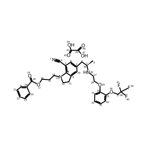 C[C@H](Cc1cc(C#N)c2c(c1)CCN2CCCOC(=O)c1ccccc1)NCCOc1ccccc1OCC(F)(F)F.O=C(O)C(=O)O